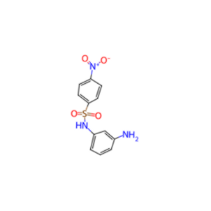 Nc1cccc(NS(=O)(=O)c2ccc([N+](=O)[O-])cc2)c1